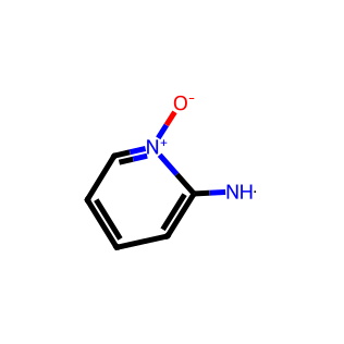 [NH]c1cccc[n+]1[O-]